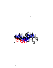 CN(c1ccc(-c2ccc(C(=O)C3(C)C=CC=CN3)cc2O)nn1)C1CC(C)(C)NC(C)(C)C1